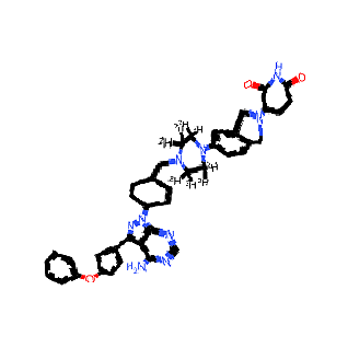 [2H]C1([2H])N(CC2CCC(n3nc(-c4ccc(Oc5ccccc5)cc4)c4c(N)ncnc43)CC2)C([2H])([2H])C([2H])([2H])N(c2ccc3c(c2)CN(C2CCC(=O)NC2=O)C3)C1([2H])[2H]